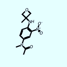 CC(=O)N(C)c1ccc(NC2(C)COC2)c([N+](=O)[O-])c1